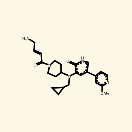 COc1cc(-c2c[nH]c(=O)c(N(CC3CC3)C3CCN(C(=O)/C=C/CN)CC3)c2)ccn1